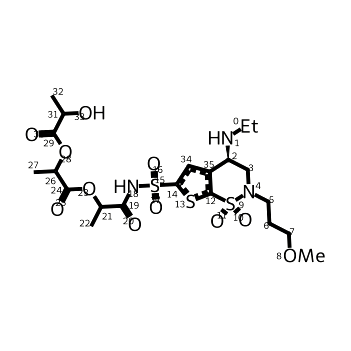 CCN[C@H]1CN(CCCOC)S(=O)(=O)c2sc(S(=O)(=O)NC(=O)C(C)OC(=O)C(C)OC(=O)C(C)O)cc21